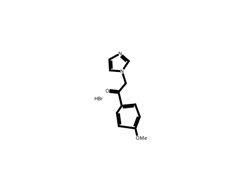 Br.COc1ccc(C(=O)Cn2ccnc2)cc1